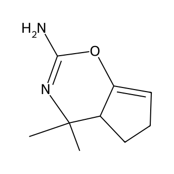 CC1(C)N=C(N)OC2=CCCC21